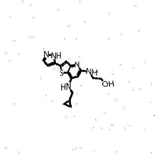 OCCNc1cc(NCC2CC2)c2sc(-c3ccn[nH]3)cc2n1